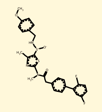 COc1ccc(CN[S+]([O-])c2sc(N(C)C(=O)Cc3ccc(-c4cc(F)ccc4F)cc3)nc2C)cc1